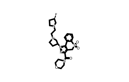 O=C(c1nn(C2CCN(CCN3CC[C@@H](F)C3)C2)c2c1CS(=O)(=O)c1ccccc1-2)N1CCOCC1